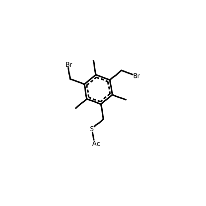 CC(=O)SCc1c(C)c(CBr)c(C)c(CBr)c1C